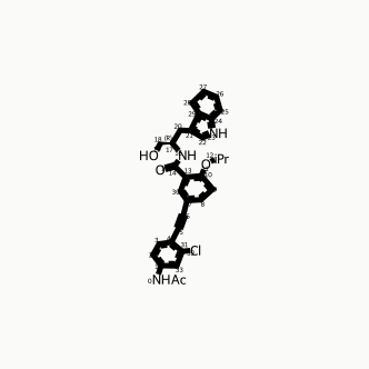 CC(=O)Nc1ccc(C#Cc2ccc(OC(C)C)c(C(=O)N[C@@H](CO)Cc3c[nH]c4ccccc34)c2)c(Cl)c1